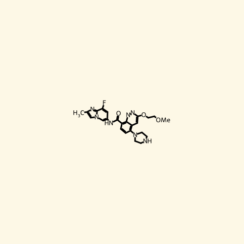 COCCOc1cc2c(N3CCNCC3)ccc(C(=O)Nc3cc(F)c4nc(C)cn4c3)c2nn1